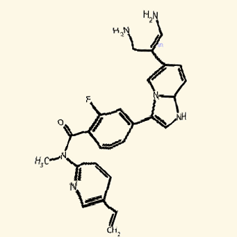 C=Cc1ccc(N(C)C(=O)c2ccc(C3=CNC4C=CC(/C(=C/N)CN)=CN34)cc2F)nc1